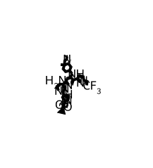 CN(C)CC1(C)CCC(NC2=CC(N)(c3ccnc(-c4cnn(S(=O)(=O)C5CC5)c4)n3)NC=C2c2ccn(CC(F)(F)F)n2)CC1